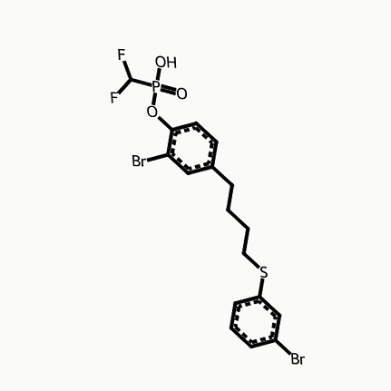 O=P(O)(Oc1ccc(CCCCSc2cccc(Br)c2)cc1Br)C(F)F